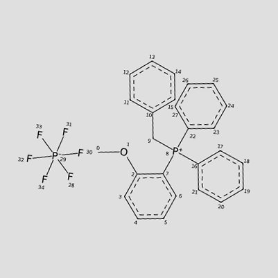 COc1ccccc1[P+](Cc1ccccc1)(c1ccccc1)c1ccccc1.F[P-](F)(F)(F)(F)F